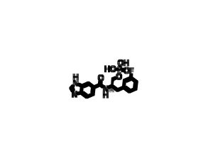 O=C(N[C@@H](COP(=O)(O)O)Cc1cccc(F)c1)c1ccc2nc[nH]c2c1